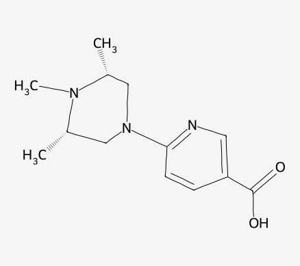 C[C@@H]1CN(c2ccc(C(=O)O)cn2)C[C@H](C)N1C